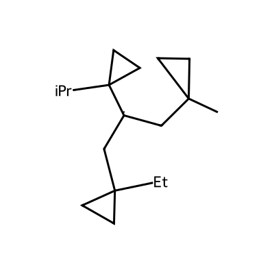 CCC1(C[C](CC2(C)CC2)C2(C(C)C)CC2)CC1